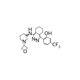 Oc1cc(C(F)(F)F)ccc1-c1nnc(N[C@@H]2CCCN(C3COC3)C2)c2c1CCCC2